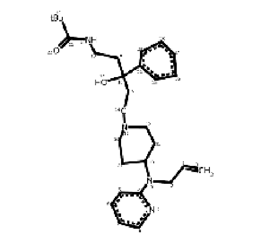 C=CCN(c1ccccn1)C1CCN(CCC(O)(CCNC(=O)C(C)(C)C)c2ccccc2)CC1